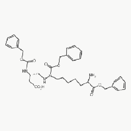 NC(CCCCCN(NC[C@H](CC(=O)O)NC(=O)OCc1ccccc1)C(=O)OCc1ccccc1)C(=O)OCc1ccccc1